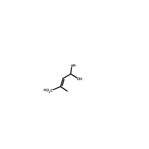 CCCC(O)C=C(C)C(=O)O